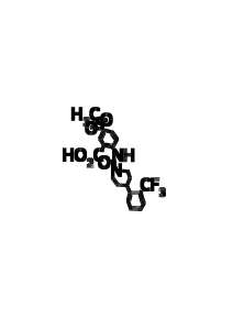 CS(=O)(=O)c1ccc(NC(=O)N2CCC(c3ccccc3C(F)(F)F)CC2)c(C(=O)O)c1